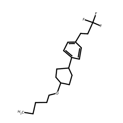 CCCCCOC1CCC(c2ccc(CCC(F)(F)F)cc2)CC1